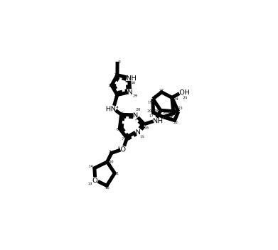 Cc1cc(Nc2cc(OCC3CCOC3)nc(NC3C4CC5CC3C(O)(C5)C4)n2)n[nH]1